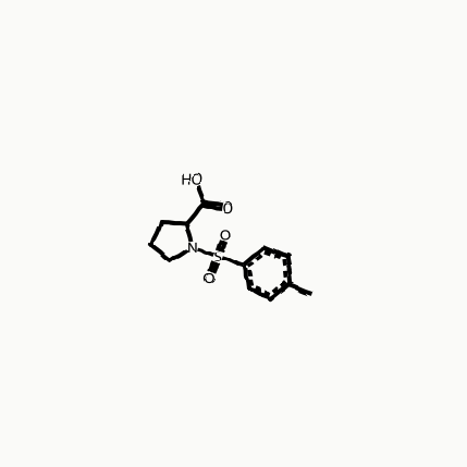 Cc1ccc(S(=O)(=O)N2CCCC2C(=O)O)cc1